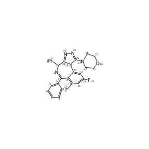 CC(C)C1N=C(c2ccccc2)c2c(F)cc(F)cc2-n2c1nnc2N1CCOCC1